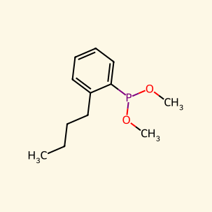 CCCCc1ccccc1P(OC)OC